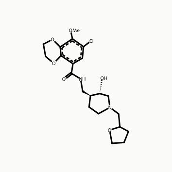 COc1c(Cl)cc(C(=O)NC[C@@H]2CCN(CC3CCCO3)C[C@H]2O)c2c1OCCO2